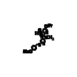 CCS(=O)(=O)c1cc(OC(C)C)cnc1-c1nc2cc(SCc3ccc(OC)cc3)ncc2n1C